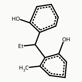 CCC(c1ccccc1O)c1c(C)cccc1O